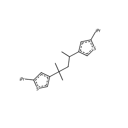 CC(C)c1cc(C(C)CC(C)(C)c2csc(C(C)C)c2)cs1